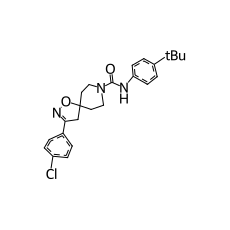 CC(C)(C)c1ccc(NC(=O)N2CCC3(CC2)CC(c2ccc(Cl)cc2)=NO3)cc1